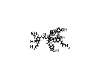 CCCCc1cc(CCC(=O)OCC(COC(=O)CCc2ccc(O)cc2)(COC(=O)CCc2ccc(O)cc2)COC(=O)CCc2cc(CCCC)c(O)c(CCCC)c2)cc(CCCC)c1O